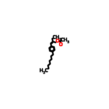 CCCCCCCCc1ccc(C=C(CC)COC(C)=O)cc1